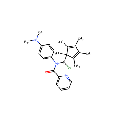 CC1=C(C)[C](C)([Ir]([Cl])[N](C(=O)c2ccccn2)c2ccc(N(C)C)cc2)C(C)=C1C